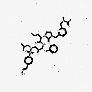 CC[C@H](C)[C@@H](C(=O)N[C@H](Cc1ccccc1)C(O)CN(CC(C)C)S(=O)(=O)c1ccc(/C=N/O)cc1)N1CCN(Cc2cccc(CN(C)C(C)=O)n2)C1=O